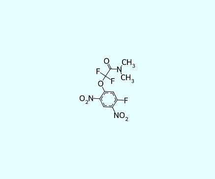 CN(C)C(=O)C(F)(F)Oc1cc(F)c([N+](=O)[O-])cc1[N+](=O)[O-]